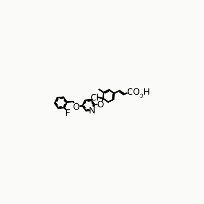 CC1=CC(C=CC(=O)O)=CCC1(Cl)Oc1ccc(OCc2ccccc2F)cn1